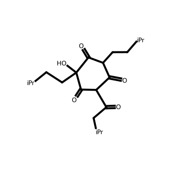 CC(C)CCC1C(=O)C(C(=O)CC(C)C)C(=O)C(O)(CCC(C)C)C1=O